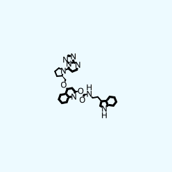 O=C(NCCc1c[nH]c2ccccc12)Oc1cc(OC[C@H]2CCCN2c2ccnc3ncnn23)c2ccccc2n1